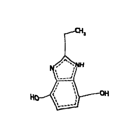 CCc1nc2c(O)ccc(O)c2[nH]1